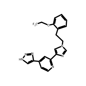 FC(F)(F)COc1ccccc1CCn1cnc(-c2cc(-c3c[nH]nn3)ccn2)c1